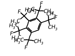 CC(C)(F)c1cc(C(C)(C)F)c(C(C)(C)F)c(C(C)(C)F)c1C(C)(C)F